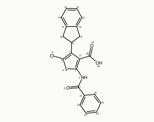 O=C(Nc1sc(Cl)c(C2Cc3ccccc3C2)c1C(=O)O)c1ccccc1